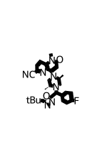 C[C@@H]1CN(c2cc(=O)n(C)c3ccc(C#N)nc23)[C@@H](C)CN1C(c1ccc(F)cc1)c1nnc(C(C)(C)C)o1